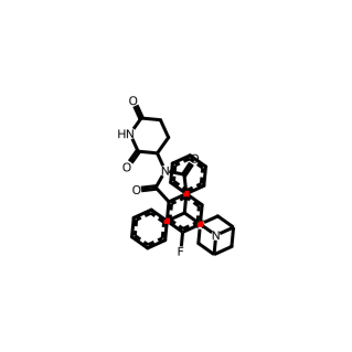 O=C1CCC(N2C(=O)c3cc(F)c(N4C5CC4CN(C(c4ccccc4)c4ccccc4)C5)cc3C2=O)C(=O)N1